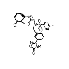 Cc1ccc(S(=O)(=O)N(CC(=O)Nc2cccc(Cl)c2C)Cc2cccc(-c3noc(=O)[nH]3)c2)cc1